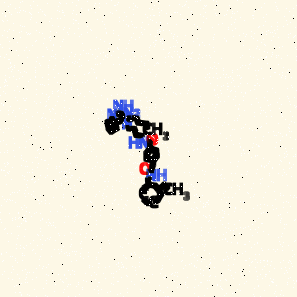 CCCCc1nc2c(N)nc3ccccc3c2n1CCCCNC(=O)c1ccc(CC(=O)NCC2CCCCCCCC(CC)C2)cc1